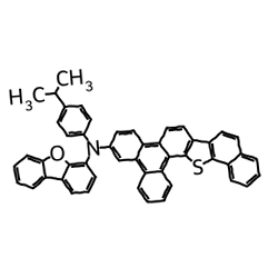 CC(C)c1ccc(N(c2ccc3c(c2)c2ccccc2c2c3ccc3c4ccc5ccccc5c4sc32)c2cccc3c2oc2ccccc23)cc1